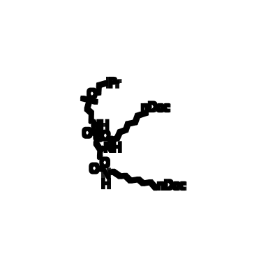 CCCCCCCCCCCCCCCCCCNC(=O)OCC(COC(=O)NCCCC(C)(C)OCCC(C)C)NC(=O)CCCCCCCCCCCCCCCCC